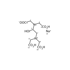 O=C([O-])CN(CC(=O)O)C(O)CN(CC(=O)O)CC(=O)O.[Na+]